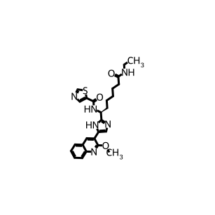 CCNC(=O)CCCCC[C@H](NC(=O)c1cncs1)c1ncc(-c2cc3ccccc3nc2OC)[nH]1